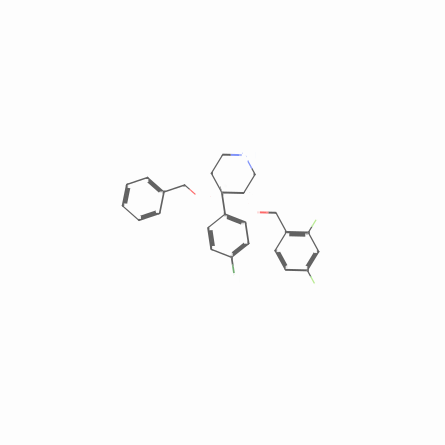 Fc1ccc(CO[C@H]2CNCC[C@]2(OCc2ccccc2)c2ccc(Cl)cc2)c(F)c1